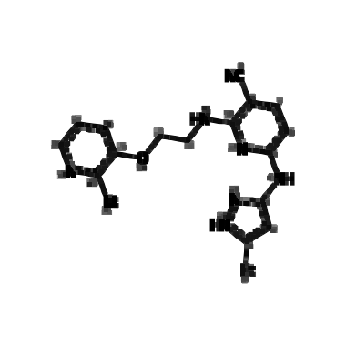 CCc1cc(Nc2ccc(C#N)c(NCCOc3cccnc3CC)n2)n[nH]1